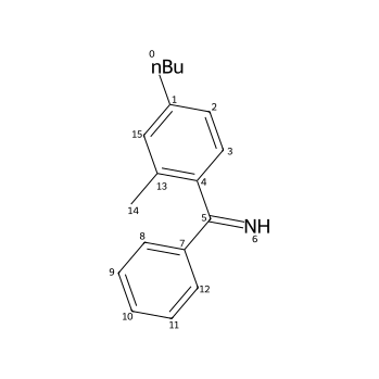 CCCCc1ccc(C(=N)c2ccccc2)c(C)c1